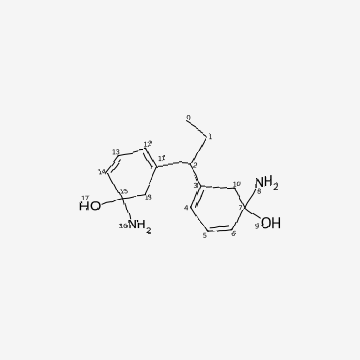 CCC(C1=CC=CC(N)(O)C1)C1=CC=CC(N)(O)C1